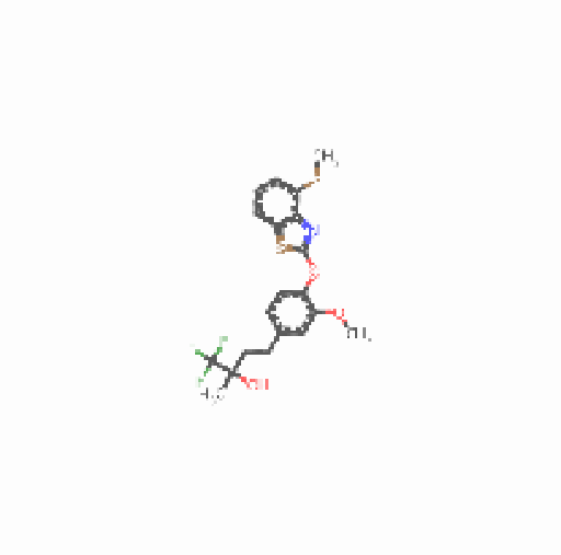 COc1cc(CCC(C)(O)C(F)(F)F)ccc1Oc1nc2c(SC)cccc2s1